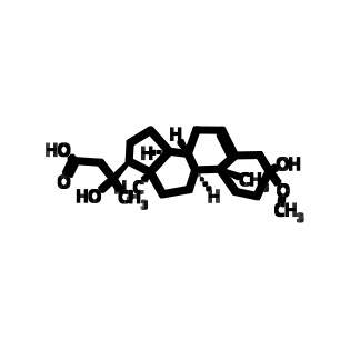 COC1(O)CC[C@@]2(C)C(=CC[C@H]3[C@@H]4CC[C@H](C(C)(O)CC(=O)O)[C@@]4(C)CC[C@@H]32)C1